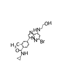 Cc1cc(-c2cnc3c(NCCO)cc(Br)nn23)ccc1C(=O)NC1CC1